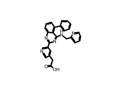 O=C(O)Cc1cncc(-c2nc(NCc3ccccn3)c3c(-c4ccccc4)cccc3n2)c1